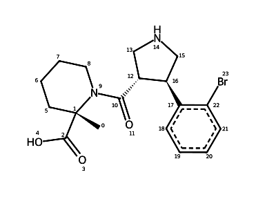 C[C@@]1(C(=O)O)CCCCN1C(=O)[C@@H]1CNC[C@H]1c1ccccc1Br